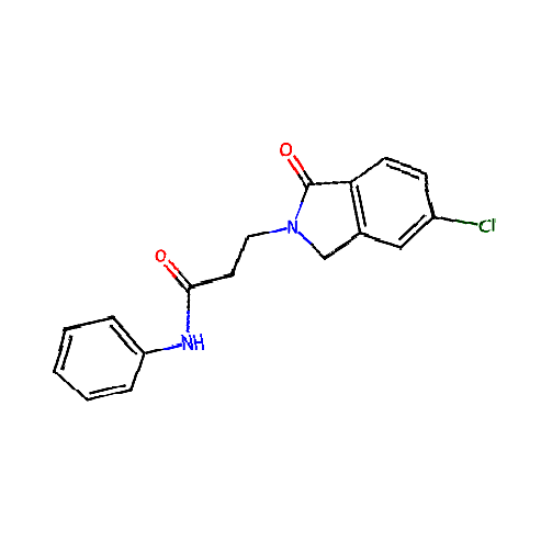 O=C(CCN1Cc2cc(Cl)ccc2C1=O)Nc1ccccc1